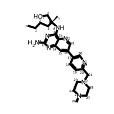 CCCC[C@](C)(CO)Nc1nc(N)nc2cc(-c3ccc(CN4CCN(C)CC4)nc3)cnc12